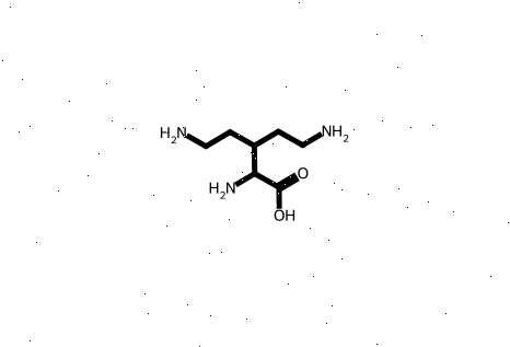 NCCC(CCN)C(N)C(=O)O